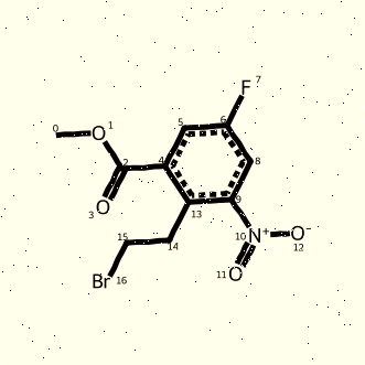 COC(=O)c1cc(F)cc([N+](=O)[O-])c1CCBr